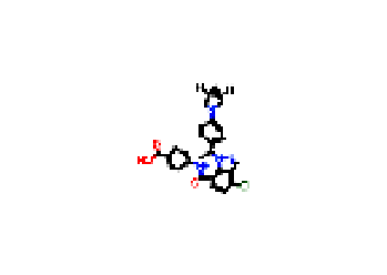 CC(c1ccc(N2C[C@@H]3C[C@H]3C2)cc1)n1ncc2c(Cl)ccc(C(=O)NC3CCC(C(=O)O)CC3)c21